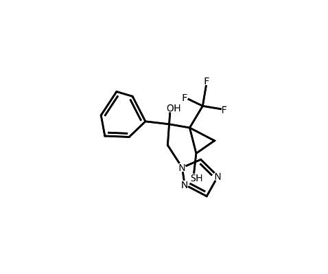 OC(Cn1cncn1)(c1ccccc1)C1(C(F)(F)F)CC1S